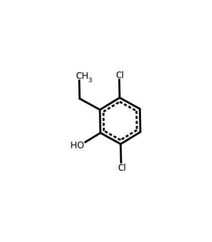 CCc1c(Cl)ccc(Cl)c1O